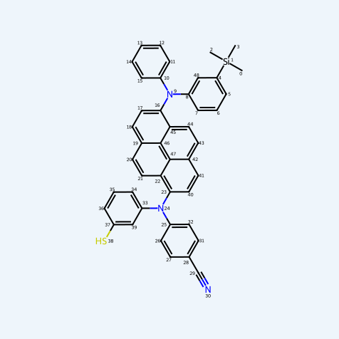 C[Si](C)(C)c1cccc(N(c2ccccc2)c2ccc3ccc4c(N(c5ccc(C#N)cc5)c5cccc(S)c5)ccc5ccc2c3c54)c1